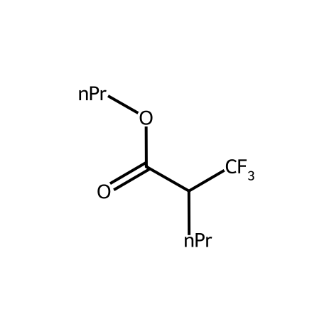 CCCOC(=O)C(CCC)C(F)(F)F